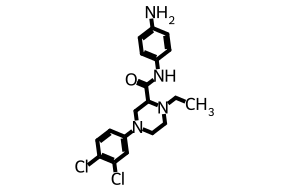 CCN1CCN(c2ccc(Cl)c(Cl)c2)CC1C(=O)Nc1ccc(N)cc1